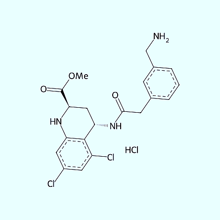 COC(=O)[C@H]1C[C@H](NC(=O)Cc2cccc(CN)c2)c2c(Cl)cc(Cl)cc2N1.Cl